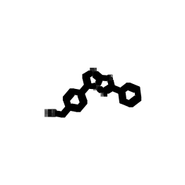 OCc1ccc(-c2cnc3sc(-c4ccccc4)nn23)cc1